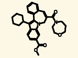 COC(=O)c1ccc2c(C3CCCCC3)c3n(c2c1)CC(C(=O)N1CCCOCC1)=Cc1ccccc1-3